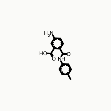 Cc1ccc(NC(=O)c2ccc(N)cc2C(=O)O)cc1